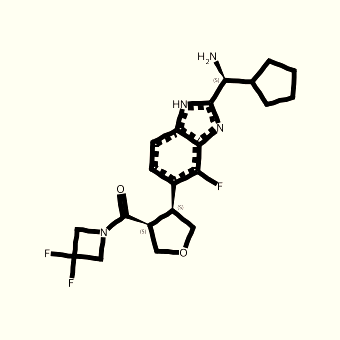 N[C@H](c1nc2c(F)c([C@H]3COC[C@H]3C(=O)N3CC(F)(F)C3)ccc2[nH]1)C1CCCC1